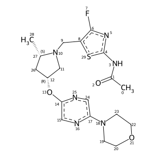 CC(=O)Nc1nc(F)c(CN2C[C@H](Oc3cnc(N4CCOCC4)cn3)C[C@@H]2C)s1